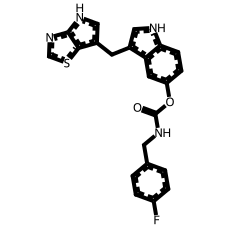 O=C(NCc1ccc(F)cc1)Oc1ccc2[nH]cc(Cc3c[nH]c4ncsc34)c2c1